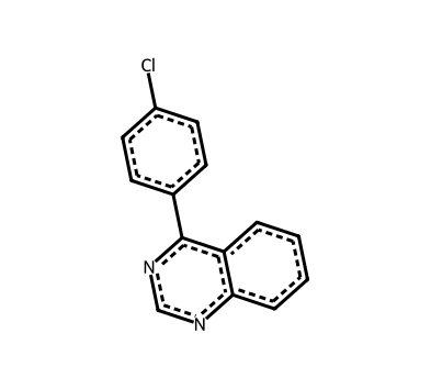 Clc1ccc(-c2ncnc3ccccc23)cc1